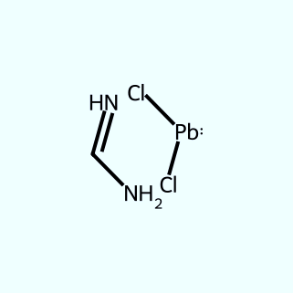 N=CN.[Cl][Pb][Cl]